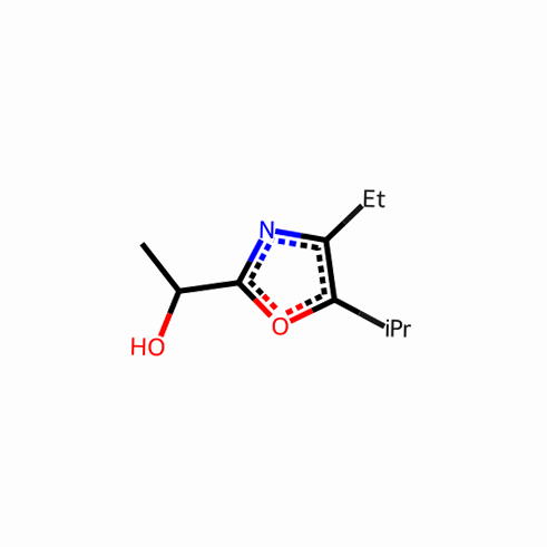 CCc1nc(C(C)O)oc1C(C)C